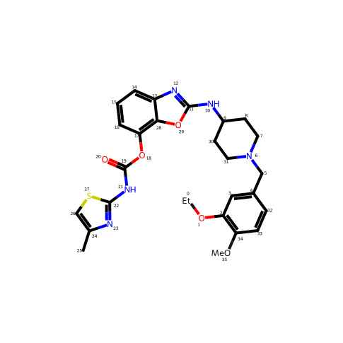 CCOc1cc(CN2CCC(Nc3nc4cccc(OC(=O)Nc5nc(C)cs5)c4o3)CC2)ccc1OC